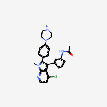 CC(=O)Nc1cccc(-c2c(-c3ccc(N4CCNCC4)cc3)n(C)c3nccc(Cl)c23)c1